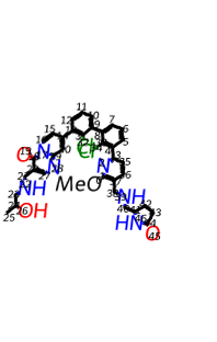 COc1nc(-c2cccc(-c3cccc(-c4ccn5c(=O)c(CNCC(C)O)cnc5c4)c3Cl)c2Cl)ccc1CNCC1CCC(=O)N1